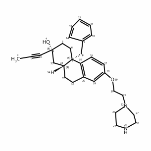 CC#C[C@@]1(O)CC[C@@]2(Cc3ccccc3)c3ccc(OCCN4CCNCC4)cc3CC[C@@H]2C1